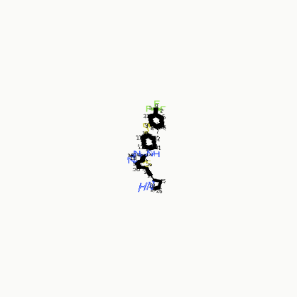 FC(F)(F)c1cccc(Sc2ccc(Nc3ncnc4cc(C#C[C@H]5CCCN5)sc34)cc2)c1